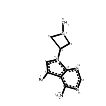 CN1CC(n2cc(Br)c3c(N)ncnc32)C1